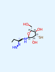 CC/C(=C/N[C@H]1O[C@H](CO)[C@@H](O)[C@H](S)[C@@H]1O)N=N